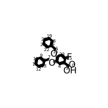 O=C(O)c1cc(OCc2ccccc2)c(OCc2ccccc2)cc1F